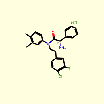 Cc1ccc(N(CCc2ccc(Cl)c(F)c2)C(=O)[C@@H](N)c2ccccc2)cc1C.Cl